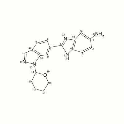 Nc1ccc2[nH]c(-c3ccc4cnn(C5CCCCO5)c4c3)nc2c1